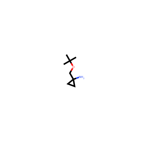 CC(C)(C)OCC1(N)CC1